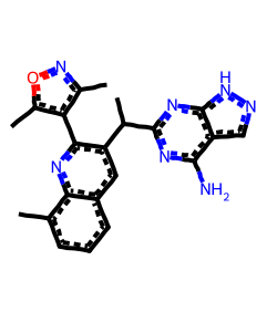 Cc1noc(C)c1-c1nc2c(C)cccc2cc1C(C)c1nc(N)c2cn[nH]c2n1